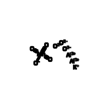 [Al+3].[Al+3].[K+].[O-2].[O-2].[O-2].[O]=[Mn](=[O])(=[O])[O-]